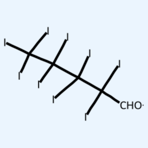 O=[C]C(I)(I)C(I)(I)C(I)(I)C(I)(I)I